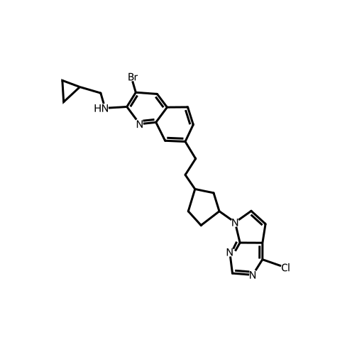 Clc1ncnc2c1ccn2C1CCC(CCc2ccc3cc(Br)c(NCC4CC4)nc3c2)C1